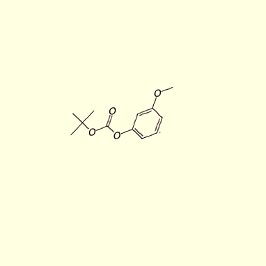 COc1c[c]cc(OC(=O)OC(C)(C)C)c1